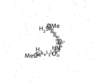 CO[SiH2]CCCCCCOC(C)(C)CNCC(C)(C)OCCCCCC[SiH2]OC